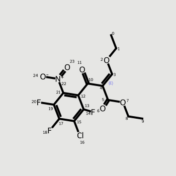 CCO/C=C(/C(=O)OCC)C(=O)c1c(F)c(Cl)c(F)c(F)c1[N+](=O)[O-]